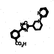 O=C(O)c1cccc(-c2noc(C3CCCN(c4ccccn4)C3)n2)c1